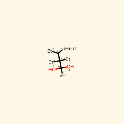 CCCCCCCC(CC)C(CC)(CC)C(O)(O)CC